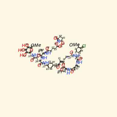 COc1ccc(C[C@H]2NC(=O)/C=C/C[C@@H]([C@H](C)[C@H]3O[C@@H]3c3ccc(CNC(=O)[C@H](CCC(=O)NC[C@H]4O[C@@H](OC)[C@H](O)[C@@H](O)[C@@H]4O)NC(=O)[C@@H](NC(=O)CCCC(=O)ON4C(=O)CCC4=O)C(C)C)cc3)OC(=O)[C@H](CC(C)C)NC(=O)C(C)(C)[C@H](C)NC2=O)cc1Cl